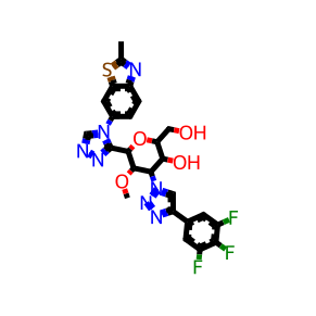 COC1C(c2nncn2-c2ccc3nc(C)sc3c2)OC(CO)C(O)C1n1cc(-c2cc(F)c(F)c(F)c2)nn1